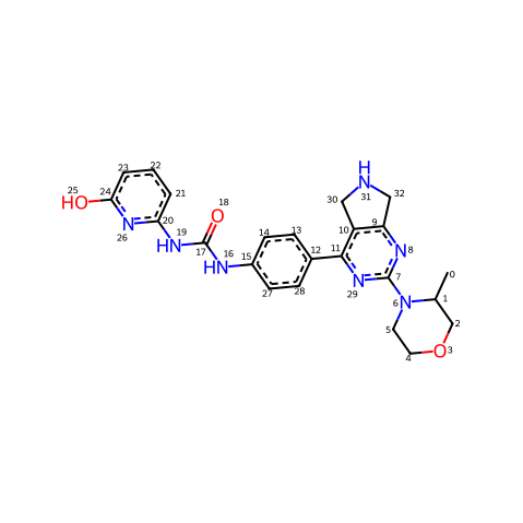 CC1COCCN1c1nc2c(c(-c3ccc(NC(=O)Nc4cccc(O)n4)cc3)n1)CNC2